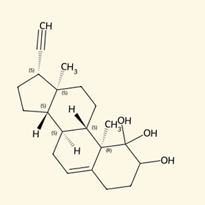 C#C[C@H]1CC[C@H]2[C@@H]3CC=C4CCC(O)C(O)(O)[C@]4(C)[C@H]3CC[C@]12C